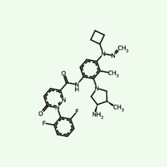 C=NN(c1ccc(NC(=O)c2ccc(=O)n(-c3c(F)cccc3F)n2)c(N2C[C@@H](C)[C@@H](N)C2)c1C)C1CCC1